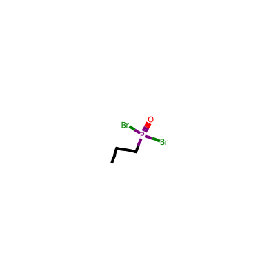 CCCP(=O)(Br)Br